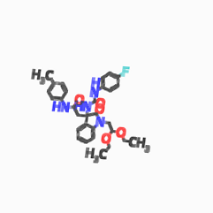 CCOC(CN1C(=O)C(CC(=O)Nc2ccc(C)cc2)(NC(=O)Nc2ccc(F)cc2)c2ccccc21)OCC